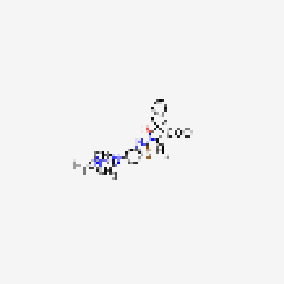 CN(C(=O)C1(CC(=O)[O-])Cc2ccccc2C1)c1nc2cc(N3CC([N+](C)(C)C)C3)ccc2s1